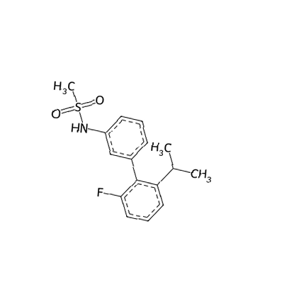 CC(C)c1cccc(F)c1-c1cccc(NS(C)(=O)=O)c1